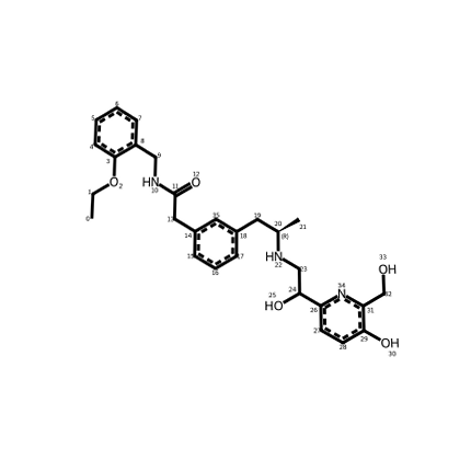 CCOc1ccccc1CNC(=O)Cc1cccc(C[C@@H](C)NCC(O)c2ccc(O)c(CO)n2)c1